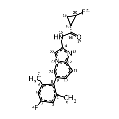 Cc1cc(F)cc(C)c1-c1ccc2nc(NC(=O)[C@@H]3CC3F)cn2c1